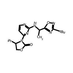 CC(Nc1nccc(N2C(=O)OCC2C(C)C)n1)c1nc(C(C)(C)C)no1